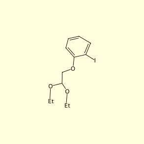 CCOC(COc1ccccc1I)OCC